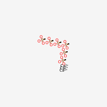 CS(=O)(=O)[O-].CS(=O)(=O)[O-].CS(=O)(=O)[O-].CS(=O)(=O)[O-].CS(=O)(=O)[O-].CS(=O)(=O)[O-].[Ca+2].[Ca+2].[Ca+2]